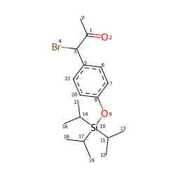 CC(=O)C(Br)c1ccc(O[Si](C(C)C)(C(C)C)C(C)C)cc1